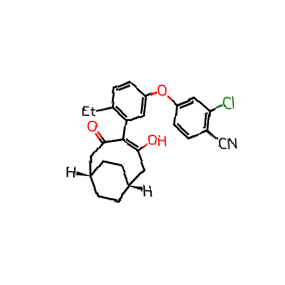 CCc1ccc(Oc2ccc(C#N)c(Cl)c2)cc1/C1=C(\O)C[C@H]2CC[C@H](CC2)CC1=O